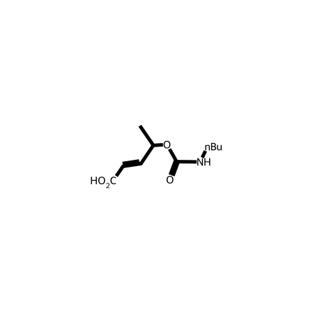 CCCCNC(=O)OC(C)C=CC(=O)O